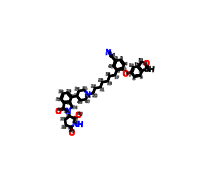 N#Cc1ccc(Oc2ccc3c(c2)COB3)c(CCCCCCCN2CCC(c3cccc4c3CN(C3CCC(=O)NC3=O)C4=O)CC2)c1